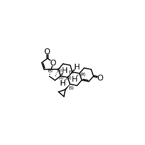 C[C@]12CC[C@H]3[C@@H]([C@H](C4CC4)CC4=CC(=O)CC[C@@H]43)[C@@H]1CC[C@@]21C=CC(=O)O1